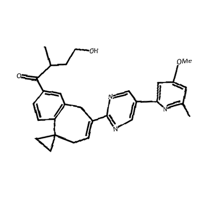 COc1cc(C)nc(-c2cnc(C3=CCC4(CC4)c4ccc(C(=O)C(C)CCO)cc4C3)nc2)c1